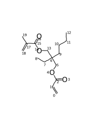 C=CC(=O)OCC(CC)(CCCC)COC(=O)C(=C)C